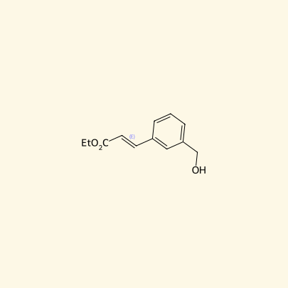 CCOC(=O)/C=C/c1cccc(CO)c1